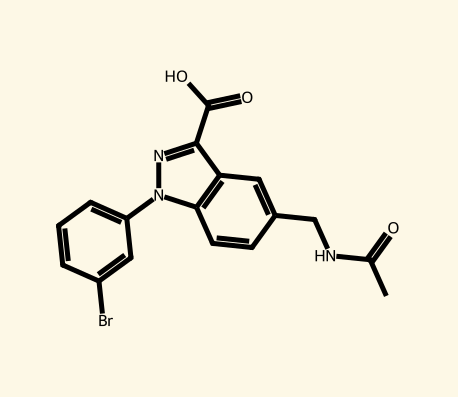 CC(=O)NCc1ccc2c(c1)c(C(=O)O)nn2-c1cccc(Br)c1